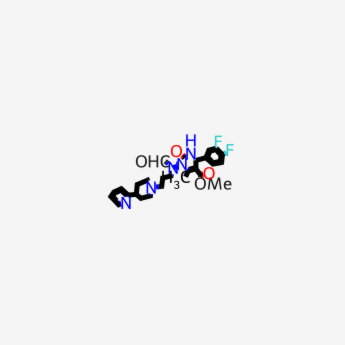 COC(=O)C1=C(C)N(N(C=O)CCCN2CCC(c3ccccn3)CC2)C(=O)NC1c1ccc(F)c(F)c1